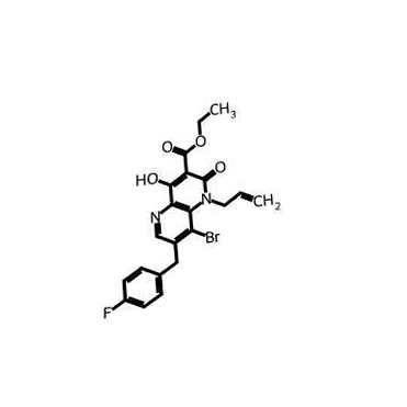 C=CCn1c(=O)c(C(=O)OCC)c(O)c2ncc(Cc3ccc(F)cc3)c(Br)c21